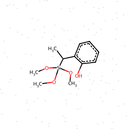 CO[Si](OC)(OC)C(C)c1ccccc1O